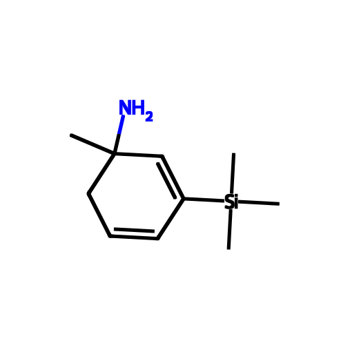 CC1(N)C=C([Si](C)(C)C)C=CC1